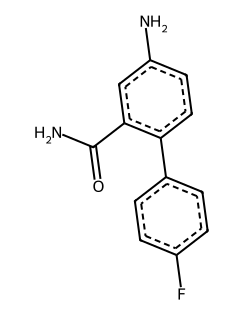 NC(=O)c1cc(N)ccc1-c1ccc(F)cc1